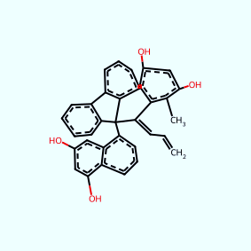 C=C/C=C(\c1cc(O)cc(O)c1C)C1(c2cccc3c(O)cc(O)cc23)c2ccccc2-c2ccccc21